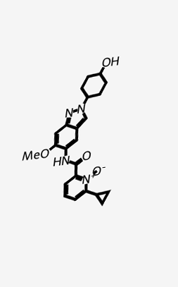 COc1cc2nn(C3CCC(O)CC3)cc2cc1NC(=O)c1cccc(C2CC2)[n+]1[O-]